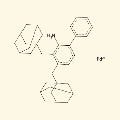 Nc1c(-c2ccccc2)ccc(CC23CC4CC(CC(C4)C2)C3)c1CC12CC3CC(CC(C3)C1)C2.[Pd+2]